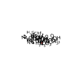 C=C(C)[C@@H]1CC[C@]2(C(=O)N3CCC[C@H]3c3ncc(-c4cccnc4)[nH]3)CC[C@]3(C)[C@H](CC[C@@H]4[C@@]5(C)CC[C@H](OC(=O)C(CC(C)C(=O)O)C(C)C)C(C)(C)[C@@H]5CC[C@]43C)[C@@H]12